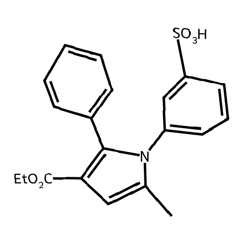 CCOC(=O)c1cc(C)n(-c2cccc(S(=O)(=O)O)c2)c1-c1ccccc1